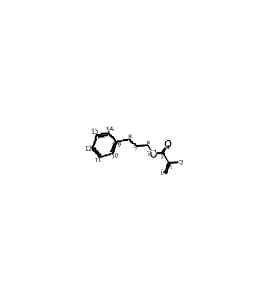 C=C(C)C(=O)OCCCc1cc[c]cc1